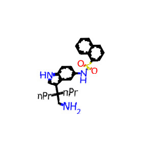 CCCC(CN)(CCC)c1c[nH]c2ccc(NS(=O)(=O)c3cccc4ccccc34)cc12